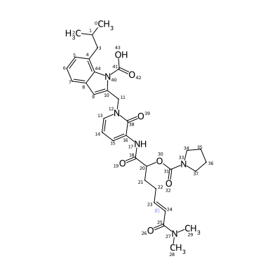 CC(C)Cc1cccc2cc(Cn3cccc(NC(=O)C(CC/C=C/C(=O)N(C)C)OC(=O)N4CCCC4)c3=O)n(C(=O)O)c12